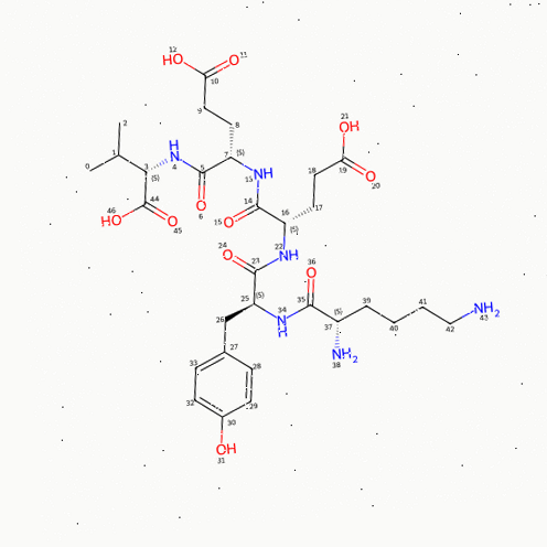 CC(C)[C@H](NC(=O)[C@H](CCC(=O)O)NC(=O)[C@H](CCC(=O)O)NC(=O)[C@H](Cc1ccc(O)cc1)NC(=O)[C@@H](N)CCCCN)C(=O)O